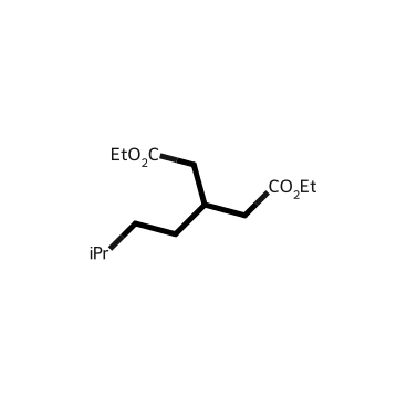 CCOC(=O)CC(CCC(C)C)CC(=O)OCC